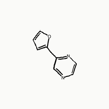 [c]1ccc(-c2cnccn2)o1